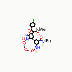 CNC(=O)c1c(-c2ccc(F)cc2)oc2cc3c(cc12)-c1cc(cc(C(=O)NC(C)(C)C)c1)NC(=O)OCCOCCOC(=O)N3